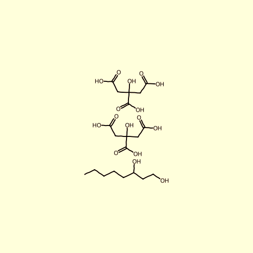 CCCCCC(O)CCO.O=C(O)CC(O)(CC(=O)O)C(=O)O.O=C(O)CC(O)(CC(=O)O)C(=O)O